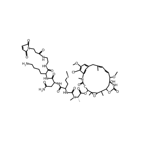 COc1cc2cc(c1Cl)N(C)C(=O)CC(OC(=O)[C@H](C)N(C)C(=O)NC(CCSC)C(=O)NC(CC(N)=O)C(=O)NC(CCCCN)C(=O)NCCNC(=O)CCN1C(=O)C=CC1=O)C1(C)OC1C(C)C1CC(O)(NC(=O)O1)C(OC)/C=C/C=C(\C)C2